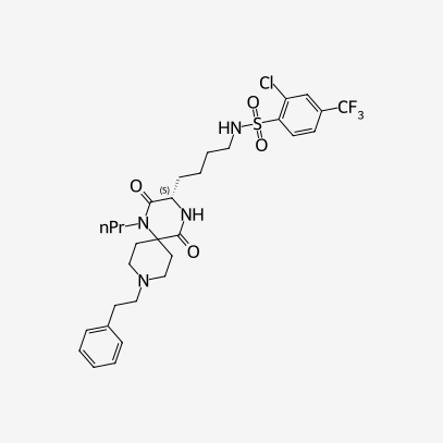 CCCN1C(=O)[C@H](CCCCNS(=O)(=O)c2ccc(C(F)(F)F)cc2Cl)NC(=O)C12CCN(CCc1ccccc1)CC2